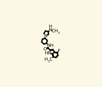 CNC1CCN([C@H]2CCC[C@@H](NC(=O)c3cc4c(F)ccc(C)c4[nH]3)C2)C1